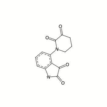 O=C1CCCN(c2cccc3c2C(=O)C(=O)[N]3)C1=O